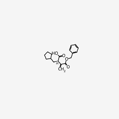 C=C(C(=O)OCc1ccccc1)[C@@H](CC1CCCC1)C(=O)O